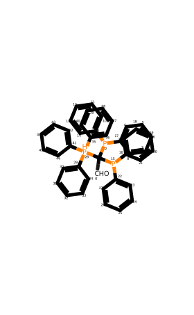 O=CC(P(c1ccccc1)c1ccccc1)(P(c1ccccc1)c1ccccc1)[PH](c1ccccc1)(c1ccccc1)c1ccccc1